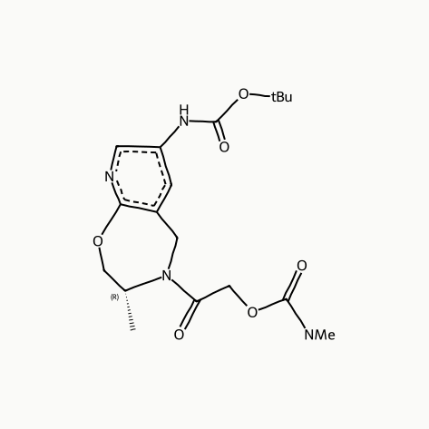 CNC(=O)OCC(=O)N1Cc2cc(NC(=O)OC(C)(C)C)cnc2OC[C@H]1C